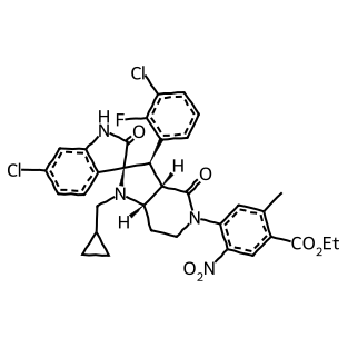 CCOC(=O)c1cc([N+](=O)[O-])c(N2CC[C@H]3[C@@H](C2=O)[C@H](c2cccc(Cl)c2F)[C@]2(C(=O)Nc4cc(Cl)ccc42)N3CC2CC2)cc1C